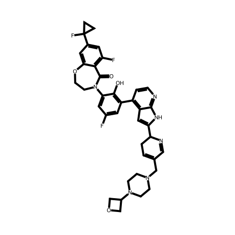 O=C1c2c(F)cc(C3(F)CC3)cc2OCCN1c1cc(F)cc(-c2ccnc3[nH]c(C4CC=C(CN5CCN(C6COC6)CC5)C=N4)cc23)c1O